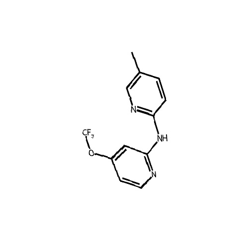 Cc1ccc(Nc2cc(OC(F)(F)F)ccn2)nc1